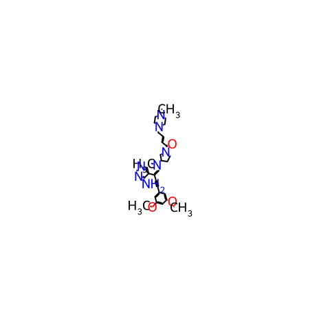 COc1cc(C#C/C(=C/N(C)C2CCN(C(=O)/C=C/CN3CCN(C)CC3)C2)c2cncnc2N)cc(OC)c1